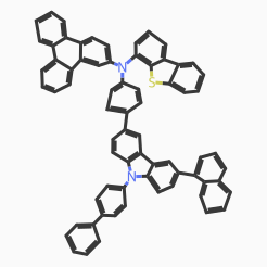 c1ccc(-c2ccc(-n3c4ccc(-c5ccc(N(c6ccc7c8ccccc8c8ccccc8c7c6)c6cccc7c6sc6ccccc67)cc5)cc4c4cc(-c5cccc6ccccc56)ccc43)cc2)cc1